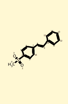 CS(=O)(=O)c1ccc(/C=C/c2cc[c]cc2)cc1